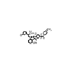 Cc1cc(C(F)(F)C(=O)N2CCN(C)CC2)cc2nc(-c3c(NC[C@H](O)c4cccc(Cl)c4)ccnc3O)[nH]c12